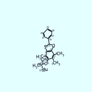 Cc1c(C)c2c(c(C)c1O[Si](C)(C)C(C)(C)C)SC(c1ccccc1)O2